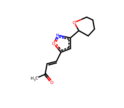 CC(=O)C=Cc1cc(C2CCCCO2)no1